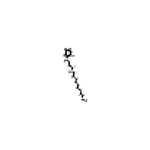 CCCCCCCCCCCCCCCC(C)c1c[c]ccc1